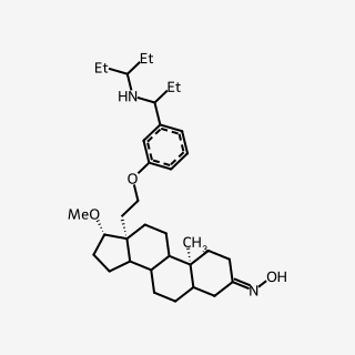 CCC(CC)NC(CC)c1cccc(OCC[C@]23CCC4C(CCC5C/C(=N/O)CC[C@@]54C)C2CC[C@@H]3OC)c1